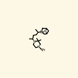 CCN1C2CC1CN(C(C)CCC(C)N1CCN(C(C)C)CC1(C)C)C2